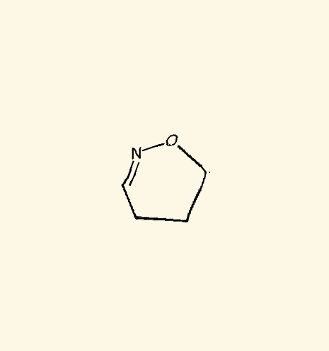 [CH]1CCC=NO1